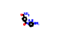 NC(=O)c1ccc(C(=O)N2c3ccc(N)c(N)c32)cc1